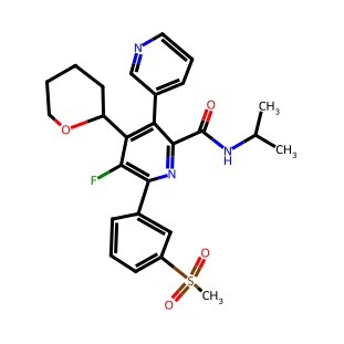 CC(C)NC(=O)c1nc(-c2cccc(S(C)(=O)=O)c2)c(F)c(C2CCCCO2)c1-c1cccnc1